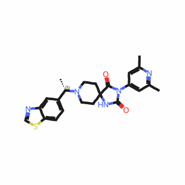 Cc1cc(N2C(=O)NC3(CCN([C@@H](C)c4ccc5scnc5c4)CC3)C2=O)cc(C)n1